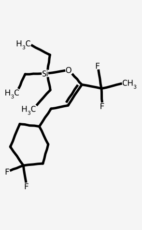 CC[Si](CC)(CC)O/C(=C\CC1CCC(F)(F)CC1)C(C)(F)F